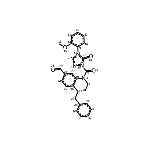 CCN(C(=O)n1nnn(-c2ccccc2OC)c1=O)c1cc(C=O)ccc1CCc1ccccc1